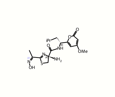 COc1cc([C@@H](CC(C)C)NC(=O)[C@]2(N)CSC(/C(C)=N\O)=N2)oc(=O)c1